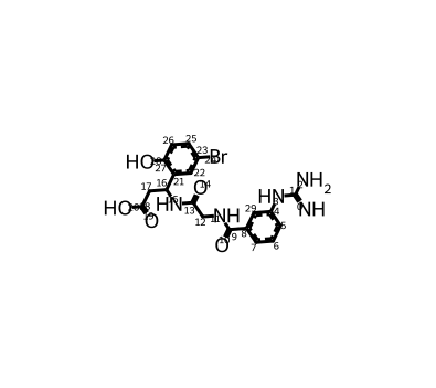 N=C(N)Nc1cccc(C(=O)NCC(=O)NC(CC(=O)O)c2cc(Br)ccc2O)c1